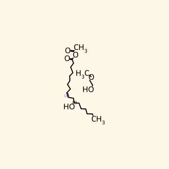 CCCCCC[C@@H](O)C/C=C\CCCCCCCC(=O)OC(C)=O.COCCO